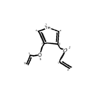 C=COc1c[te]cc1OC=C